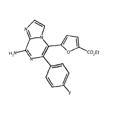 CCOC(=O)c1ccc(-c2c(-c3ccc(F)cc3)nc(N)c3nccn23)o1